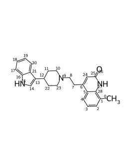 Cc1cccc2c(CCN3CCC(c4c[nH]c5ccccc45)CC3)cc(=O)[nH]c12